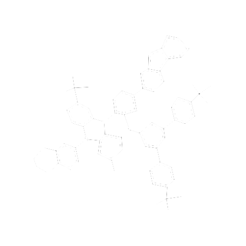 Cc1cc2c3c(c1)N(c1cc(-c4ccc(C(C)(C)C)cc4)cc(-c4ccc(C(C)(C)C)cc4)c1)c1cc(-c4ccc5c(c4)oc4ccccc45)ccc1B3c1cc(C(C)(C)C)ccc1N2c1ccc2c(c1)OCCO2